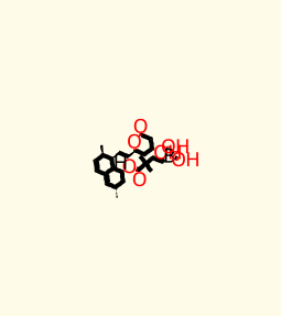 C[C@@H]1C=C2C=C[C@@H](C)[C@@H](CC[C@@H]3C[C@H](O)CC(=O)O3)[C@@H]2[C@H](OC(=O)C(C)(C)CCB(O)O)C1